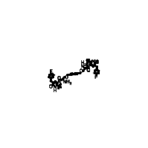 CC1(C)CN(C(=O)[C@@H](N)COCC#CC#CCOC[C@H](N)C(=O)N2CC(C)(C)c3[nH]c(=O)c(Cc4ccc(F)cc4)cc32)c2cc(Cc3ccc(F)cc3)c(=O)[nH]c21